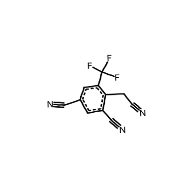 N#CCc1c(C#N)cc(C#N)cc1C(F)(F)F